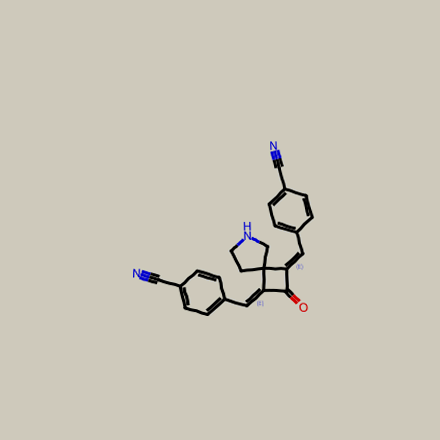 N#Cc1ccc(/C=C2/C(=O)/C(=C/c3ccc(C#N)cc3)C23CCNC3)cc1